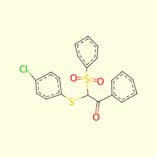 O=C(c1ccccc1)C(Sc1ccc(Cl)cc1)S(=O)(=O)c1ccccc1